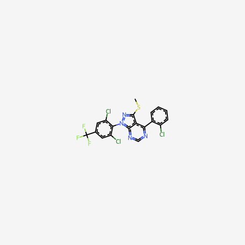 CSc1nn(-c2c(Cl)cc(C(F)(F)F)cc2Cl)c2ncnc(-c3ccccc3Cl)c12